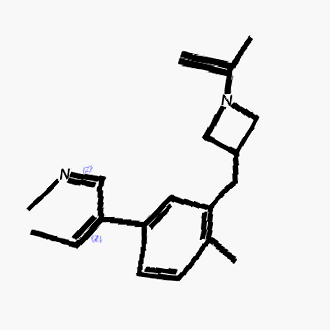 C=C(C)N1CC(Cc2cc(C(/C=N\C)=C/C)ccc2C)C1